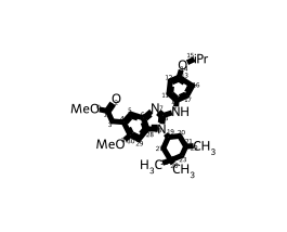 COC(=O)Cc1cc2nc(Nc3ccc(OC(C)C)cc3)n(C3CC(C)CC(C)(C)C3)c2cc1OC